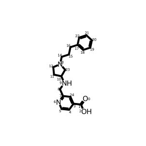 O=C(O)c1ccnc(CNC2CCN(CCCc3ccccc3)C2)c1